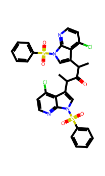 CC(C(=O)C(C)c1cn(S(=O)(=O)c2ccccc2)c2nccc(Cl)c12)c1cn(S(=O)(=O)c2ccccc2)c2nccc(Cl)c12